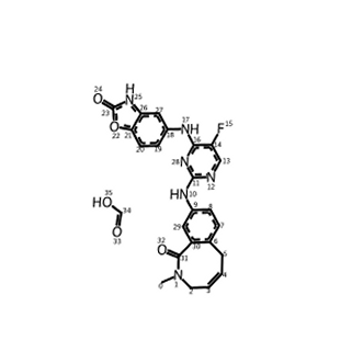 CN1C/C=C\Cc2ccc(Nc3ncc(F)c(Nc4ccc5oc(=O)[nH]c5c4)n3)cc2C1=O.O=CO